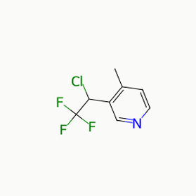 Cc1ccncc1C(Cl)C(F)(F)F